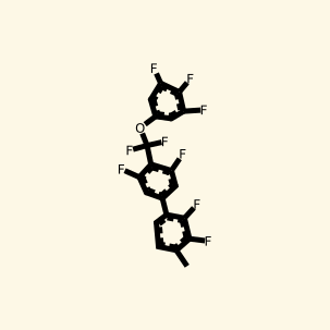 Cc1ccc(-c2cc(F)c(C(F)(F)Oc3cc(F)c(F)c(F)c3)c(F)c2)c(F)c1F